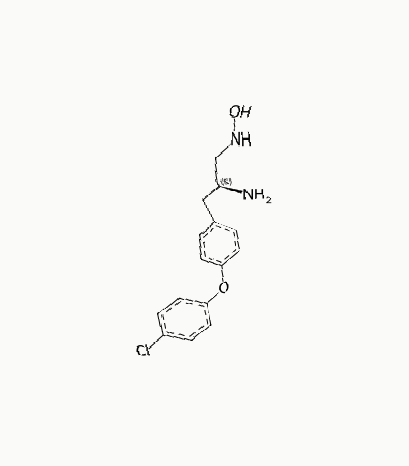 N[C@H](CNO)Cc1ccc(Oc2ccc(Cl)cc2)cc1